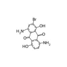 Nc1ccc(O)c2c1C(=O)c1c(O)c(Br)cc(N)c1C2=O